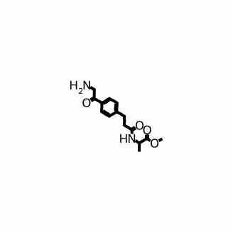 COC(=O)C(C)NC(=O)CCc1ccc(C(=O)CN)cc1